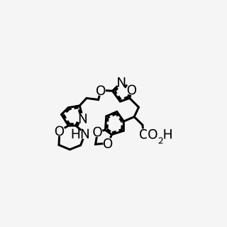 O=C(O)CC(Cc1cc(OCCc2ccc3c(n2)NCCCO3)no1)c1ccc2c(c1)OCO2